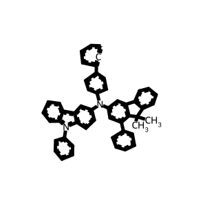 CC1(C)c2ccccc2-c2cc(N(c3ccc(-c4ccccc4)cc3)c3ccc4c(c3)c3ccccc3n4-c3ccccc3)cc(-c3ccccc3)c21